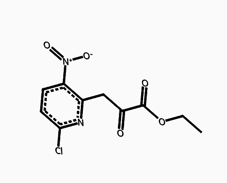 CCOC(=O)C(=O)Cc1nc(Cl)ccc1[N+](=O)[O-]